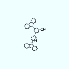 N#Cc1cc(-c2ccc(-n3c4ccccc4c4ccccc43)nc2)cc(C2c3ccccc3-c3ccccc32)c1